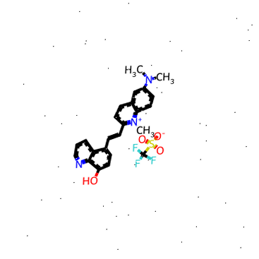 CN(C)c1ccc2c(ccc(C=Cc3ccc(O)c4ncccc34)[n+]2C)c1.O=S(=O)([O-])C(F)(F)F